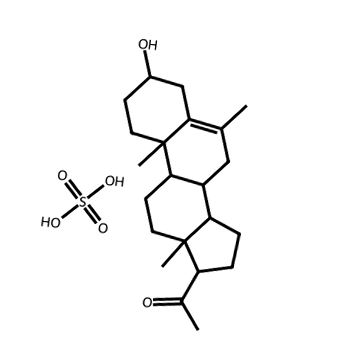 CC(=O)C1CCC2C3CC(C)=C4CC(O)CCC4(C)C3CCC12C.O=S(=O)(O)O